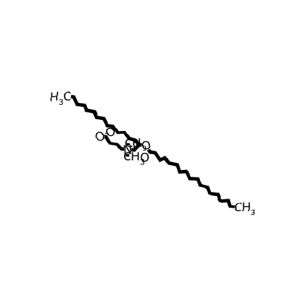 CCCCCCCCCCCCCCCCCC(=O)OC(CCCCCCCCCCCCCC)C[N+](C)(C)CCCC(=O)[O-]